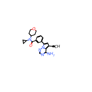 C#Cc1cc(-c2cccc(C(=O)N(C3CCOCC3)C3CC3)c2)n2ncnc(N)c12